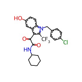 O=C(NC1CCCCC1)C(=O)c1c(C(F)(F)F)n(Cc2ccc(Cl)cc2)c2ccc(O)cc12